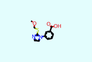 COCSc1nccn1-c1cccc(C(=O)O)c1